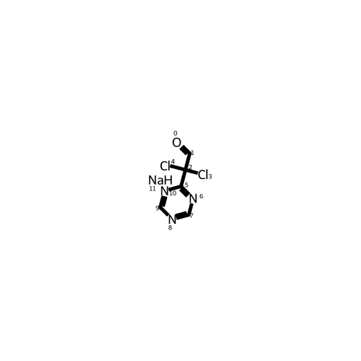 O=CC(Cl)(Cl)c1ncncn1.[NaH]